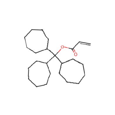 C=CC(=O)OC(C1CCCCCC1)(C1CCCCCC1)C1CCCCCC1